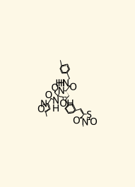 Cc1ccc(CNC(=O)[C@H](CCc2cccc(C=C3SC(=O)N(C)C3=O)c2)N[C@](C=O)(NC(=O)c2cc(C)on2)[C@@H](C)O)cc1